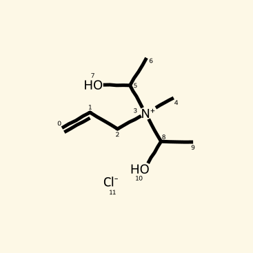 C=CC[N+](C)(C(C)O)C(C)O.[Cl-]